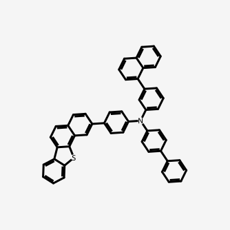 c1ccc(-c2ccc(N(c3ccc(-c4ccc5ccc6c7ccccc7sc6c5c4)cc3)c3cccc(-c4cccc5ccccc45)c3)cc2)cc1